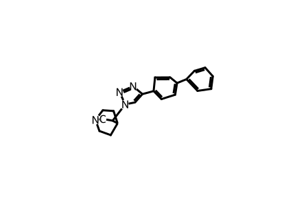 c1ccc(-c2ccc(-c3cn(C4CN5CCC4CC5)nn3)cc2)cc1